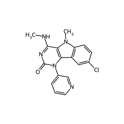 CNc1nc(=O)n(-c2cccnc2)c2c3cc(Cl)ccc3n(C)c12